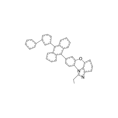 CCc1nc2cccc3c2n1-c1ccc(-c2c4ccccc4c(-c4cccc(-c5ccccc5)c4)c4ccccc24)cc1O3